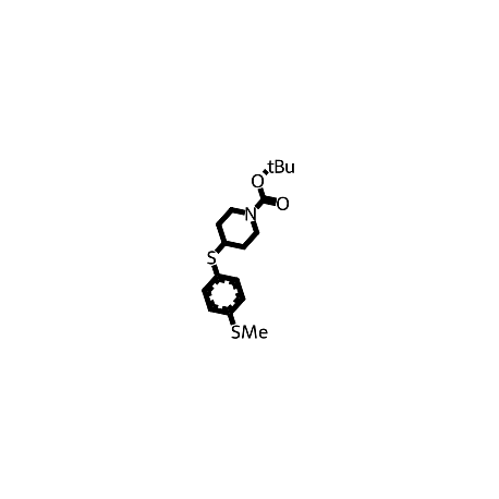 CSc1ccc(SC2CCN(C(=O)OC(C)(C)C)CC2)cc1